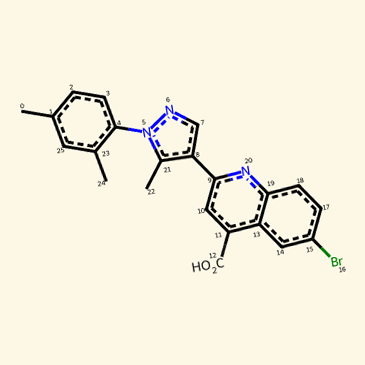 Cc1ccc(-n2ncc(-c3cc(C(=O)O)c4cc(Br)ccc4n3)c2C)c(C)c1